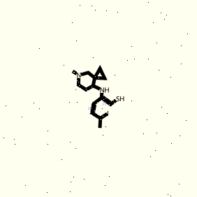 CC(I)/C=C\C(=C\S)NC1CCN(C)CC12CC2